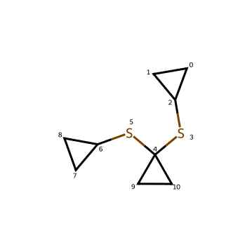 C1CC1SC1(SC2CC2)CC1